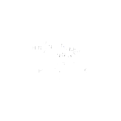 NS(=O)(=O)N1CC(/N=C(/NS(=O)(=O)c2ccc(Cl)cc2)N2C[C@H](c3ccccc3)C(c3ccc(F)cc3)=N2)C1